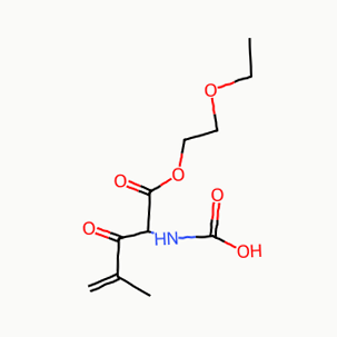 C=C(C)C(=O)C(NC(=O)O)C(=O)OCCOCC